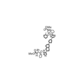 COC(=O)N[C@@H](Cc1ccccc1)C(=O)C1CCC[C@H]1c1ncc(-c2ccc(-c3ccc4cc(-c5cnc([C@@H]6CCCN6C(=O)[C@@H](NC(=O)OC)C(C)C)[nH]5)ccc4c3)cc2)[nH]1